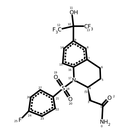 NC(=O)C[C@@H]1CCc2cc(C(O)(C(F)(F)F)C(F)(F)F)ccc2N1S(=O)(=O)c1ccc(F)cc1